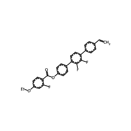 C=Cc1ccc(-c2ccc(-c3ccc(OC(=O)c4ccc(OCC)cc4F)cc3)c(F)c2F)cc1